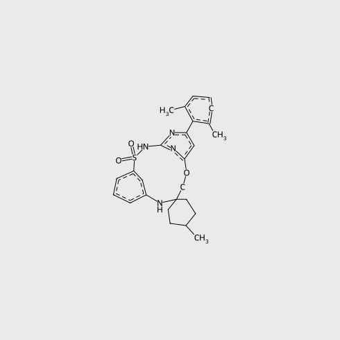 Cc1cccc(C)c1-c1cc2nc(n1)NS(=O)(=O)c1cccc(c1)NC1(CCC(C)CC1)CO2